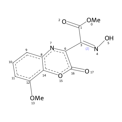 COC(=O)/C(=N\O)c1nc2cccc(OC)c2oc1=O